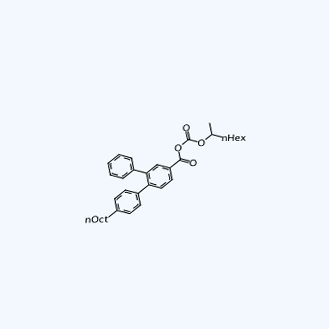 CCCCCCCCc1ccc(-c2ccc(C(=O)OC(=O)OC(C)CCCCCC)cc2-c2ccccc2)cc1